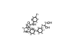 O=C(Nc1ccc(F)cn1)N1c2nc(-c3cccc(CC(O)CO)c3)ccc2N2CC[C@H]1C2